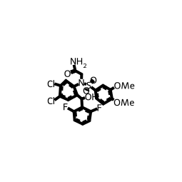 COc1ccc(S(=O)(=O)N(CC(N)=O)c2cc(Cl)c(Cl)cc2C(O)c2c(F)cccc2F)cc1OC